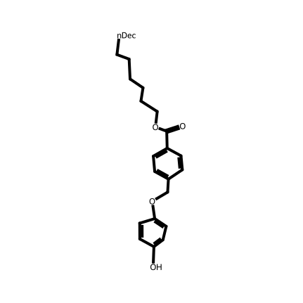 CCCCCCCCCCCCCCCCOC(=O)c1ccc(COc2ccc(O)cc2)cc1